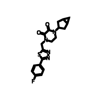 O=C1C(=O)N(C2CC3CC3C2)CCN1Cc1nnc(-c2ccc(F)cc2)s1